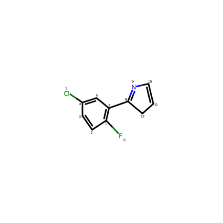 Fc1ccc(Cl)cc1C1=NC=CC1